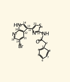 O=C(Cc1ccccc1)Nc1nc(-c2c[nH]c3ncc(Br)cc23)cs1